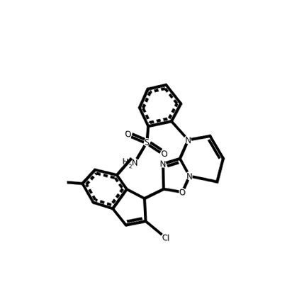 Cc1cc(C)c2c(c1)C=C(Cl)C2C1N=C2N(CC=CN2c2ccccc2S(N)(=O)=O)O1